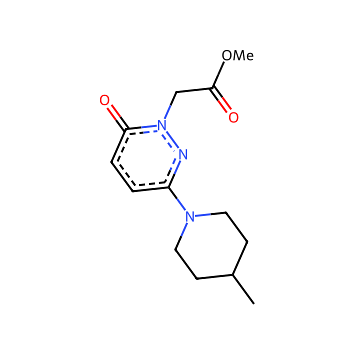 COC(=O)Cn1nc(N2CCC(C)CC2)ccc1=O